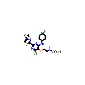 Cc1csc(-c2nc(Cl)c(OCCNC(=O)O)c(NC3CCC(F)(F)CC3)n2)n1